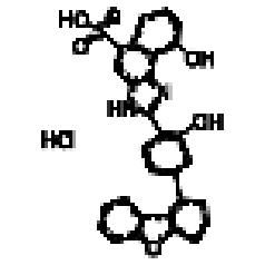 Cl.O=S(=O)(O)c1cc2[nH]c(-c3ccc(-c4cccc5oc6ccccc6c45)cc3O)nc2c2c(O)cccc12